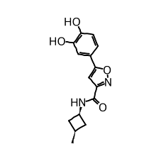 C[C@H]1C[C@@H](NC(=O)c2cc(-c3ccc(O)c(O)c3)on2)C1